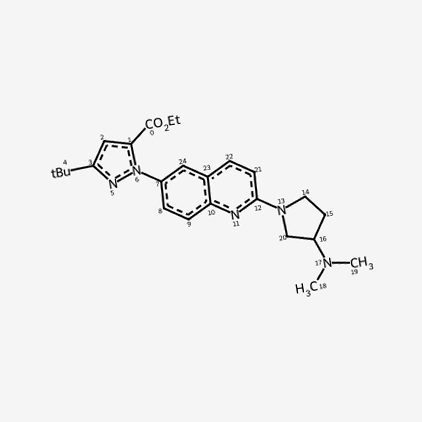 CCOC(=O)c1cc(C(C)(C)C)nn1-c1ccc2nc(N3CCC(N(C)C)C3)ccc2c1